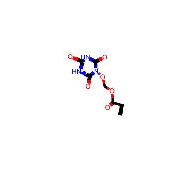 C=CC(=O)OCOn1c(=O)[nH]c(=O)[nH]c1=O